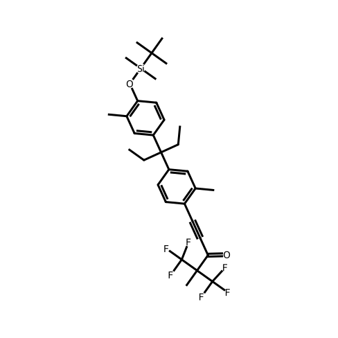 CCC(CC)(c1ccc(C#CC(=O)C(C)(C(F)(F)F)C(F)(F)F)c(C)c1)c1ccc(O[Si](C)(C)C(C)(C)C)c(C)c1